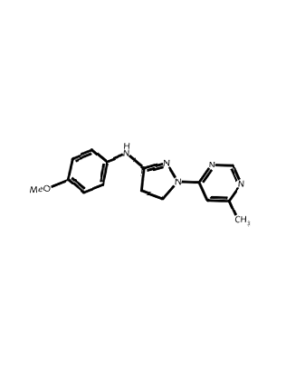 COc1ccc(NC2=NN(c3cc(C)ncn3)CC2)cc1